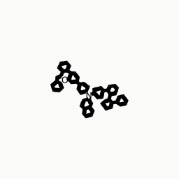 c1ccc(-c2ccccc2-c2ccccc2-c2ccc(N(c3ccc(-c4ccc(-c5ccccc5-c5cc6ccccc6o5)cc4)cc3)c3ccc4ccccc4c3)cc2)cc1